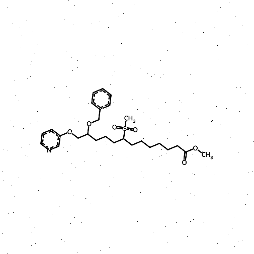 COC(=O)CCCCCCC(CCCC(COc1cccnc1)OCc1ccccc1)S(C)(=O)=O